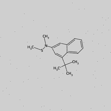 CSN(C)c1cc(C(C)(C)C)c2ccccc2c1